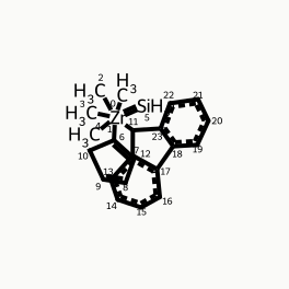 [CH3][Zr]([CH3])([CH3])([CH3])(=[SiH2])([C]1=CC=CC1)[CH]1c2ccccc2-c2ccccc21